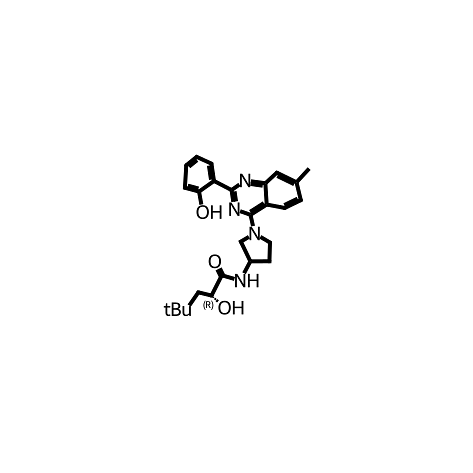 Cc1ccc2c(N3CCC(NC(=O)[C@H](O)CC(C)(C)C)C3)nc(-c3ccccc3O)nc2c1